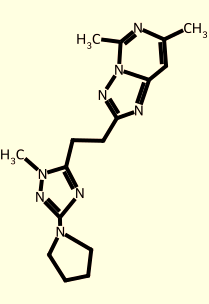 Cc1cc2nc(CCc3nc(N4CCCC4)nn3C)nn2c(C)n1